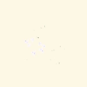 Cc1nnc(-c2nnn(Cc3cc(C(F)(F)F)cc(C(F)(F)F)c3)c2N2CCOCC2)n1[C@H](C)c1ccccc1Cl